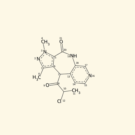 Cc1nn(C)c2c1C(C(=O)C(C)Cl)c1ccncc1NC2=O